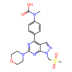 CN(C(=O)O)c1ccc(-c2nc(N3CCOCC3)nc3c2cnn3CS(C)(=O)=O)cc1